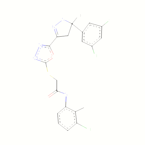 Cc1c(Cl)cccc1NC(=O)CSc1nnc(C2=NNC(c3cc(Cl)cc(Cl)c3)(C(F)(F)F)C2)o1